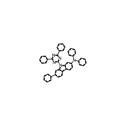 c1ccc(-c2ccc3c4ccc(N(c5ccccc5)c5ccccc5)cc4n(-c4nc(-c5ccccc5)nc(-c5ccccc5)n4)c3c2)cc1